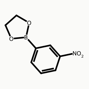 O=[N+]([O-])c1cccc(B2OCCO2)c1